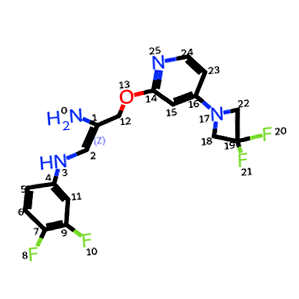 N/C(=C\Nc1ccc(F)c(F)c1)COc1cc(N2CC(F)(F)C2)ccn1